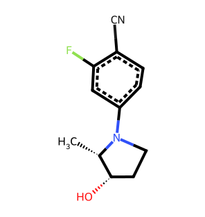 C[C@H]1[C@@H](O)CCN1c1ccc(C#N)c(F)c1